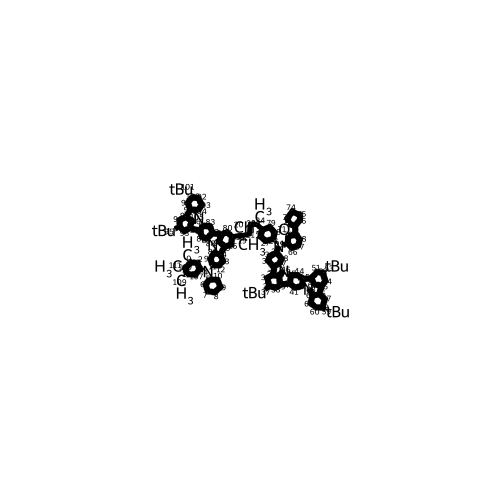 Cc1cc(N(c2ccccc2)c2ccc3c4cc(C(C)(C)CCC(C)c5ccc(N(c6ccc7c8cc(C(C)(C)C)cc9c%10cc%11c(cc%10n(c7c6)c89)c6cc(C(C)(C)C)cc7c8cc(C(C)(C)C)ccc8n%11c76)c6cccc7c6oc6ccccc67)cc5)cc5c6cc7c(cc6n(c3c2)c45)c2cc(C(C)(C)C)cc3c4cc(C(C)(C)C)ccc4n7c32)cc(C)c1C